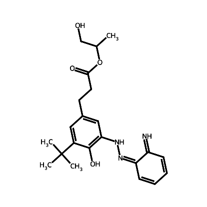 CC(CO)OC(=O)CCc1cc(N/N=C2/C=CC=CC2=N)c(O)c(C(C)(C)C)c1